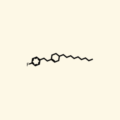 CCCCCCCCCC1CC=C(CCc2ccc(F)cc2)CC1